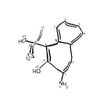 Nc1cc2ccccc2c(S(=O)(=O)O)c1O